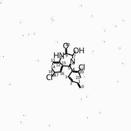 C=C/C=C\C(C1=NC(O)C(=O)NC(=C/C)/C1=C\C(C)Cl)=C(/C)Cl